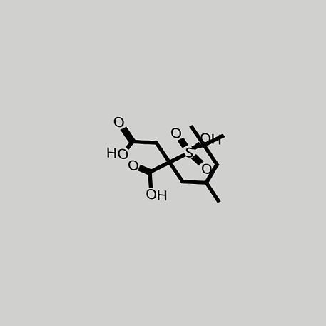 CC(CC(C)(C)C)CC(CC(=O)O)(C(=O)O)S(=O)(=O)O